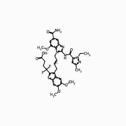 CCn1nc(C)cc1C(=O)Nc1nc2cc(C(N)=O)cc(OC)c2n1C/C=C/Cc1c(C(F)(F)CCC(=O)O)sc2cc(OC)c(OC)cc12